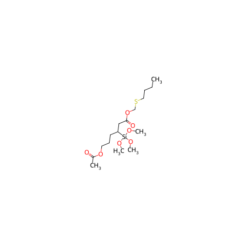 CCCCSCOC(=O)CC(CCCOC(C)=O)[Si](OC)(OC)OC